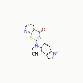 Cn1ccc2cc(N(CC#N)c3nc(=O)c4cccnc4s3)ccc21